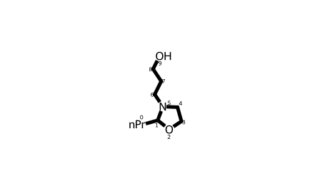 CCCC1OCCN1CCCO